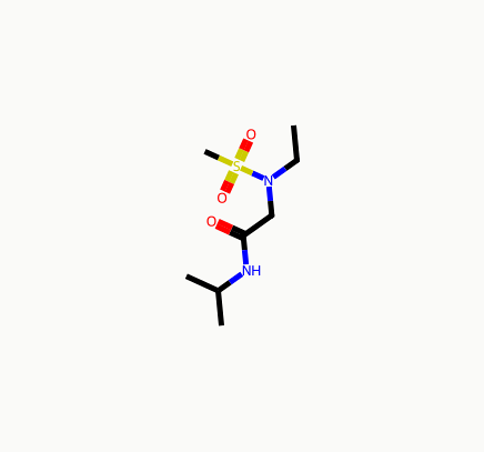 CCN(CC(=O)NC(C)C)S(C)(=O)=O